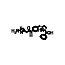 Nc1nc(CC(=O)NC2=CCC(C[C@@H]3CC[C@H]([C@H](O)c4ccccc4)N3)C=C2)cs1